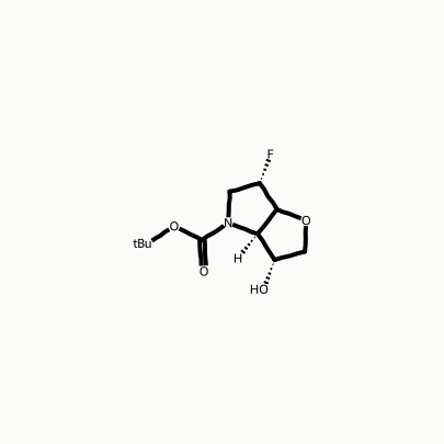 CC(C)(C)OC(=O)N1C[C@H](F)C2OC[C@H](O)[C@H]21